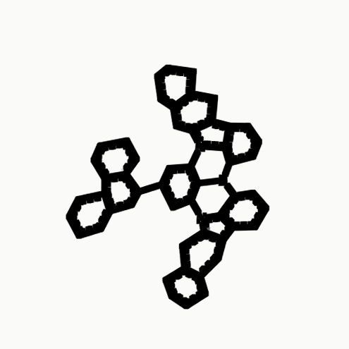 c1ccc2cc3c(cc2c1)c1cccc2c1n3-c1cc(-c3cc4ccccc4c4ccccc34)cc3c1B2c1cccc2c4cc5ccccc5cc4n-3c12